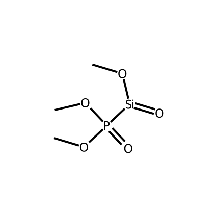 CO[Si](=O)P(=O)(OC)OC